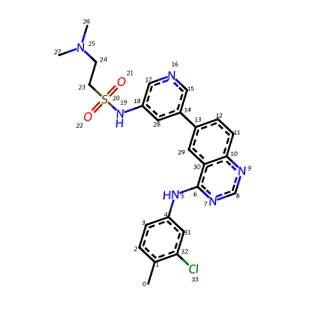 Cc1ccc(Nc2ncnc3ccc(-c4cncc(NS(=O)(=O)CCN(C)C)c4)cc23)cc1Cl